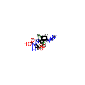 CC1(C)C(NC(=O)O)=N[C@](C)(c2cc(N=[N+]=[N-])ccc2F)[C@@H](F)S1(=O)=O